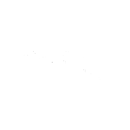 CNC(=O)OC[C@H]1CN(c2ccc(N3CC4(C3)C[S+]([O-])C4)c(F)c2)C(=O)O1